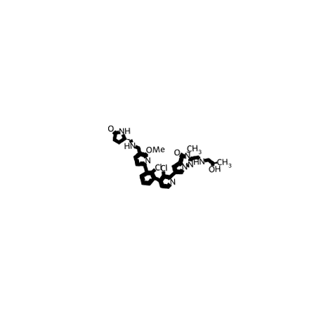 COc1nc(-c2cccc(-c3ccnc(-c4cc5c(=O)n(C)c(CNC[C@@H](C)O)nn5c4)c3Cl)c2Cl)ccc1CNC[C@@H]1CCC(=O)N1